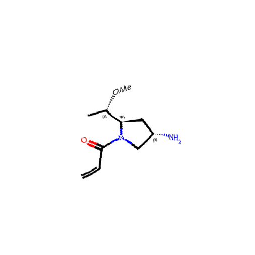 C=CC(=O)N1C[C@@H](N)C[C@@H]1[C@H](C)OC